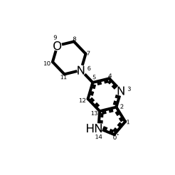 [c]1cc2ncc(N3CCOCC3)cc2[nH]1